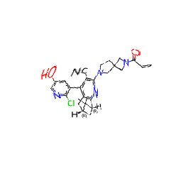 C=CC(=O)N1CC2(CCN(c3nc4c(c(-c5cc(O)cnc5Cl)c3C#N)C[C@H]3C[C@@H]4C3(C)C)C2)C1